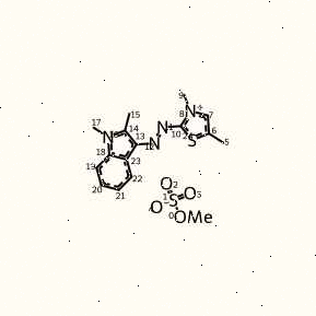 COS(=O)(=O)[O-].Cc1c[n+](C)c(N=Nc2c(C)n(C)c3ccccc23)s1